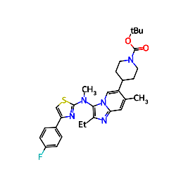 CCc1nc2cc(C)c(C3CCN(C(=O)OC(C)(C)C)CC3)cn2c1N(C)c1nc(-c2ccc(F)cc2)cs1